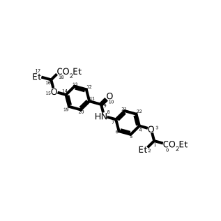 CCOC(=O)C(CC)Oc1ccc(NC(=O)c2ccc(OC(CC)C(=O)OCC)cc2)cc1